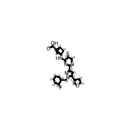 O=C(O)C1CC2(Nc3nc(-c4cc(-c5ccon5)n(Cc5ccccc5F)n4)ncc3F)CC1C2